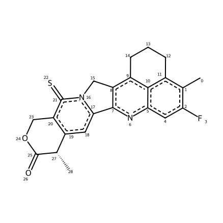 Cc1c(F)cc2nc3c(c4c2c1CCC4)Cn1c-3cc2c(c1=S)COC(=O)[C@H]2C